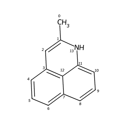 CC1=Cc2cccc3cccc(c23)N1